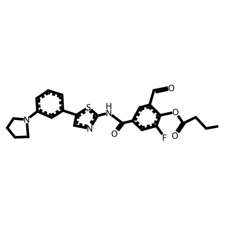 CCCC(=O)Oc1c(F)cc(C(=O)Nc2ncc(-c3cccc(N4CCCC4)c3)s2)cc1C=O